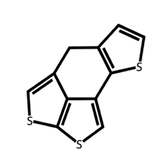 c1cc2c(s1)-c1csc3scc(c13)C2